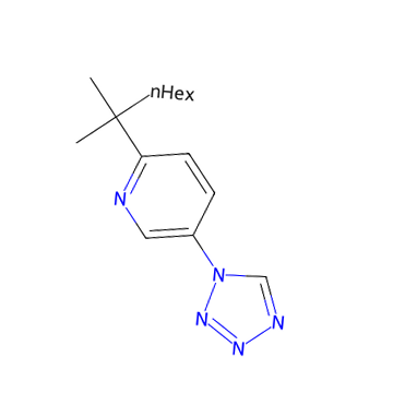 CCCCCCC(C)(C)c1ccc(-n2cnnn2)cn1